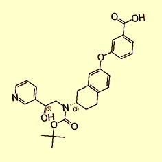 CC(C)(C)OC(=O)N(C[C@@H](O)c1cccnc1)[C@H]1CCc2ccc(Oc3cccc(C(=O)O)c3)cc2C1